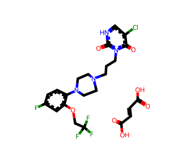 O=C(O)C=CC(=O)O.O=c1[nH]cc(Cl)c(=O)n1CCCN1CCN(c2ccc(F)cc2OCC(F)(F)F)CC1